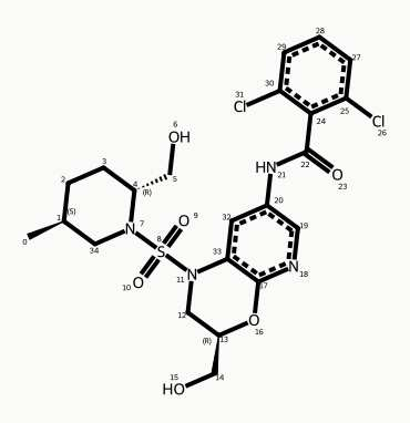 C[C@H]1CC[C@H](CO)N(S(=O)(=O)N2C[C@H](CO)Oc3ncc(NC(=O)c4c(Cl)cccc4Cl)cc32)C1